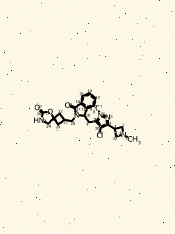 CN1CC(c2nn(C)c(CC3c4ccccc4C(=O)N3CC3CC4(CNC(=O)O4)C3)c2Cl)C1